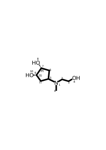 CN(CCO)C1C[C@@H](O)[C@@H](O)C1